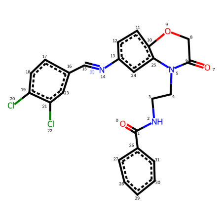 O=C(NCCN1C(=O)COc2ccc(/N=C/c3ccc(Cl)c(Cl)c3)cc21)c1ccccc1